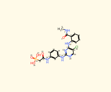 CNC(=O)c1ccccc1Nc1nc(Nc2cccc(NC(=O)CP(=O)(O)O)c2)ncc1Cl